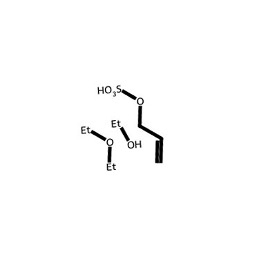 C=CCOS(=O)(=O)O.CCO.CCOCC